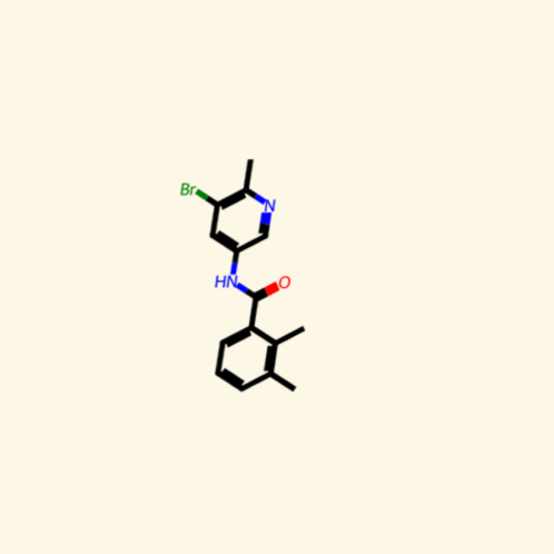 Cc1cccc(C(=O)Nc2cnc(C)c(Br)c2)c1C